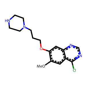 COc1cc2c(Cl)ncnc2cc1OCCCN1CCNCC1